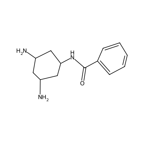 NC1CC(N)CC(NC(=O)c2ccccc2)C1